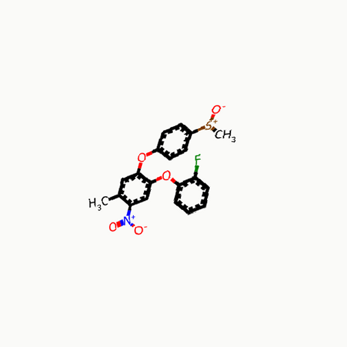 Cc1cc(Oc2ccc([S+](C)[O-])cc2)c(Oc2ccccc2F)cc1[N+](=O)[O-]